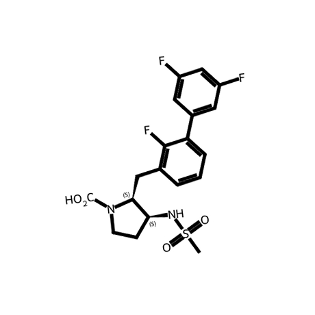 CS(=O)(=O)N[C@H]1CCN(C(=O)O)[C@H]1Cc1cccc(-c2cc(F)cc(F)c2)c1F